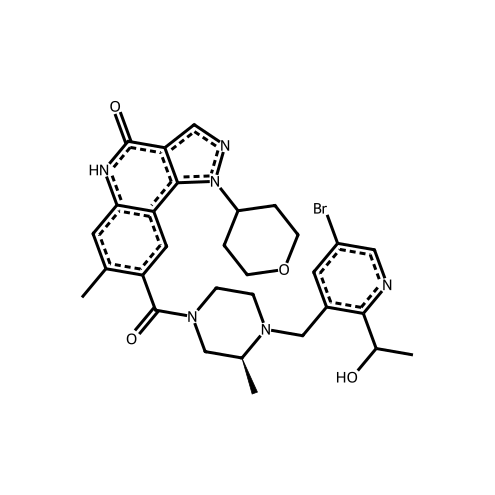 Cc1cc2[nH]c(=O)c3cnn(C4CCOCC4)c3c2cc1C(=O)N1CCN(Cc2cc(Br)cnc2C(C)O)[C@@H](C)C1